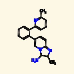 Cc1cccc(-c2ccccc2C2=CN3C(=NC(C)C3N)C=C2)n1